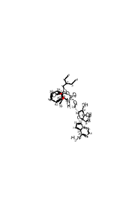 CCC(CC)COC(=O)[C@H](C)N[P@](=O)(OC[C@H]1O[C@@](/C=N\C)(c2ccc3c(N)ncnn23)[C@H](O)[C@@H]1O)Oc1ccccc1